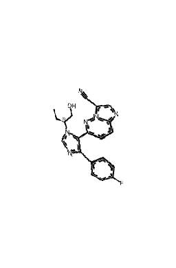 CC[C@@H](CO)n1cnc(-c2ccc(F)cc2)c1-c1ccc2ncc(C#N)n2n1